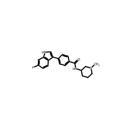 CN1CCCC(NC(=O)c2ccc(-c3c[nH]c4cc(F)ccc34)cc2)C1